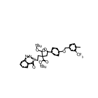 Cc1ccc(COc2ccc(C(=O)CC(CCn3nnc4ccccc4c3=O)(C(=O)OC(C)(C)C)C(=O)OC(C)(C)C)cc2)cc1C(F)(F)F